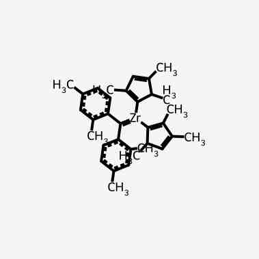 CC1=CC(C)[C]([Zr]([C]2=C(C)C=C(C)C2C)=[C](c2ccc(C)cc2C)c2ccc(C)cc2C)=C1C